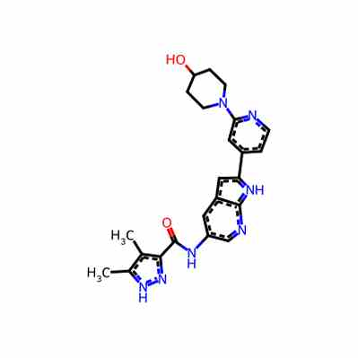 Cc1[nH]nc(C(=O)Nc2cnc3[nH]c(-c4ccnc(N5CCC(O)CC5)c4)cc3c2)c1C